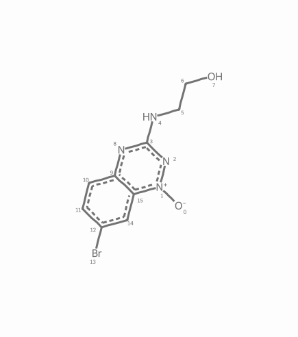 [O-][n+]1nc(NCCO)nc2ccc(Br)cc21